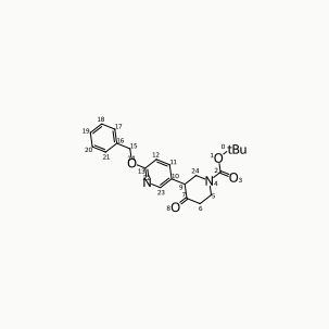 CC(C)(C)OC(=O)N1CCC(=O)C(c2ccc(OCc3ccccc3)nc2)C1